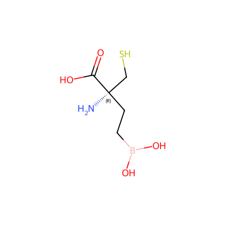 N[C@](CS)(CCB(O)O)C(=O)O